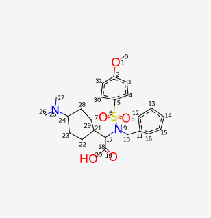 COc1ccc(S(=O)(=O)N(Cc2ccccc2)C(C(=O)O)C2CCC(N(C)C)CC2)cc1